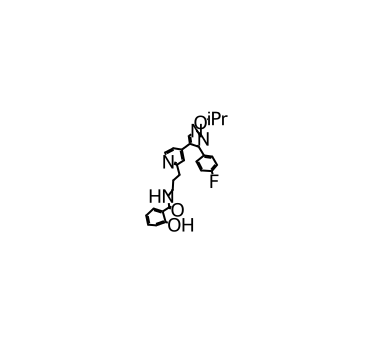 CC(C)On1cc(-c2ccnc(CCCNC(=O)c3ccccc3O)c2)c(-c2ccc(F)cc2)n1